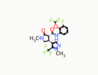 CN1C[C@H](c2cnn(C)c2C(F)(F)F)[C@@H](C(=O)Nc2cccc(F)c2OC(F)F)C1=O